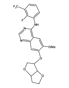 COc1cc2c(Nc3cccc(C(F)(F)F)c3F)ncnc2cc1OC1COC2CCOC21